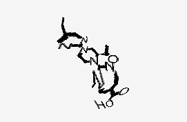 CCc1cnc(N2CCN(c3ncc(C(=O)O)cn3)[C@H](C(C)=O)C2)nc1